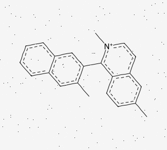 Cc1ccc2c(-c3cc4ccccc4cc3C)[n+](C)ccc2c1